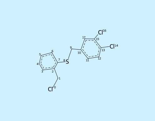 ClCc1ccccc1SCc1ccc(Cl)c(Cl)c1